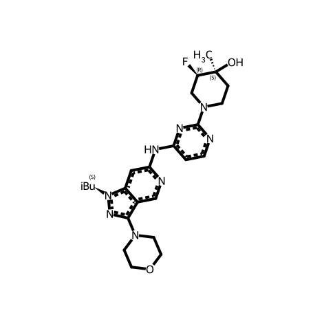 CC[C@H](C)n1nc(N2CCOCC2)c2cnc(Nc3ccnc(N4CC[C@](C)(O)[C@H](F)C4)n3)cc21